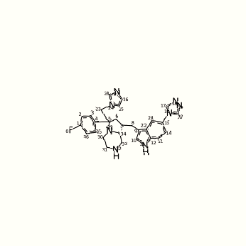 Fc1ccc(C(CCCc2c[nH]c3ccc(-n4cnnc4)cc23)(Cn2ccnc2)N2CCNCC2)cc1